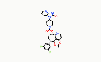 CC(=O)O[C@@H]1c2cccnc2[C@H](OC(=O)N2CCC(n3c(=O)[nH]c4ncccc43)CC2)CC[C@H]1c1cc(F)cc(F)c1